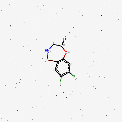 CC[C@@H]1CNSc2cc(Cl)c(F)cc2O1